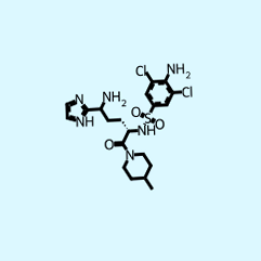 CC1CCN(C(=O)[C@H](CCC(N)c2ncc[nH]2)NS(=O)(=O)c2cc(Cl)c(N)c(Cl)c2)CC1